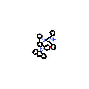 C1=C(c2ccccc2)NC(c2ccccc2)C=C1n1c2ccccc2c2ccc3c(c4ccccc4n3-c3c4ccccc4cc4ccccc34)c21